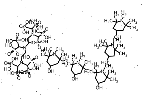 CN1C(C)(C)CC(O)CC1(C)C.CN1C(C)(C)CC(O)CC1(C)C.CN1C(C)(C)CC(O)CC1(C)C.CN1C(C)(C)CC(O)CC1(C)C.CN1C(C)(C)CC(O)CC1(C)C.O=P(O)(O)C(N(CCN(C(P(=O)(O)O)P(=O)(O)O)C(P(=O)(O)O)P(=O)(O)O)CCN(C(P(=O)(O)O)P(=O)(O)O)C(P(=O)(O)O)P(=O)(O)O)P(=O)(O)O